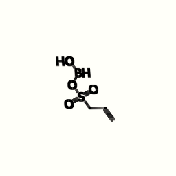 C=CCS(=O)(=O)OBO